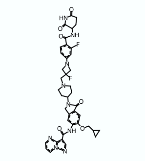 O=C1CCC(NC(=O)c2ccc(N3CC(F)(CN4CCC(N5Cc6cc(NC(=O)c7cnn8cccnc78)c(OCC7CC7)cc6C5=O)CC4)C3)cc2F)C(=O)N1